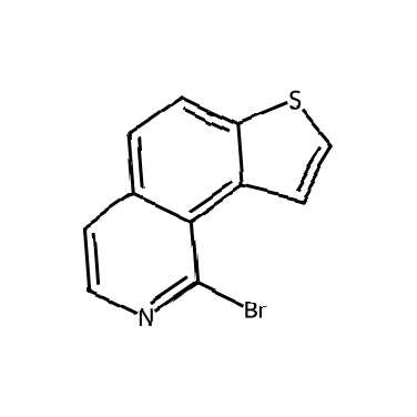 Brc1nccc2ccc3sccc3c12